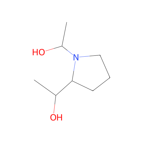 CC(O)C1CCCN1C(C)O